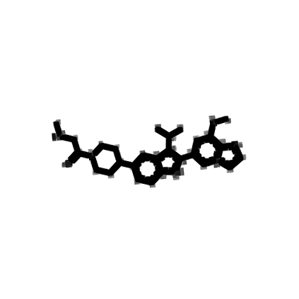 CNCC(=O)N1CCC(c2ccc3[nH]c(-c4cc(OC)c5nccn5c4)c(C(C)C)c3c2)CC1